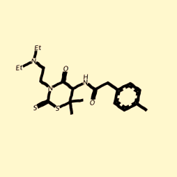 CCN(CC)CCN1C(=O)C(NC(=O)Cc2ccc(C)cc2)C(C)(C)SC1=S